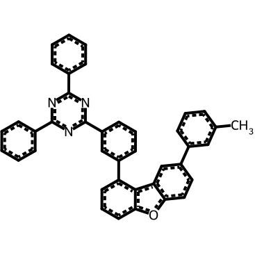 Cc1cccc(-c2ccc3oc4cccc(-c5cccc(-c6nc(-c7ccccc7)nc(-c7ccccc7)n6)c5)c4c3c2)c1